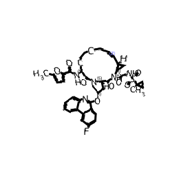 Cc1ccc(C(=O)N[C@H]2CCCCC/C=C\[C@@H]3C[C@@]3(C(=O)NS(=O)(=O)C3(C)CC3)NC(=O)[C@@H]3C[C@@H](Oc4nc5ccccc5c5cc(F)ccc45)CN3C2=O)o1